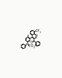 Cc1ccc(N(C(=O)O)c2ccccc2)cc1-c1c(C(=O)c2ccccc2)cnc2c(C(F)(F)F)cccc12